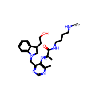 CCCNCCCCNC(=O)/C(C)=N/c1c(C)ncnc1CN1CC(CCO)c2ccccc21